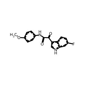 COc1ccc(NC(=O)C(=O)c2c[nH]c3cc(F)ccc23)cc1